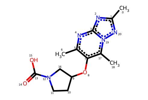 Cc1nc2nc(C)c(OC3CCN(C(=O)O)C3)c(C)n2n1